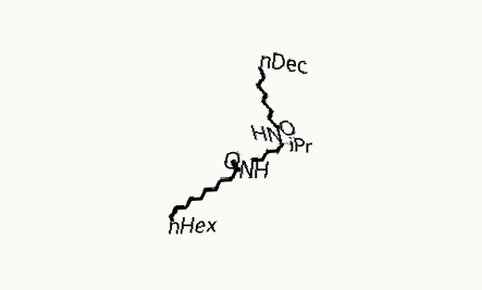 CCCCCC/C=C\CCCCCCCC(=O)NCCCC[C@H](NC(=O)CCCCCCCCCCCCCCCCC)C(C)C